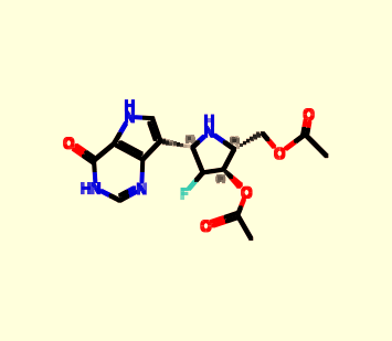 CC(=O)OC[C@H]1N[C@@H](c2c[nH]c3c(=O)[nH]cnc23)C(F)[C@@H]1OC(C)=O